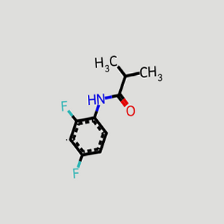 CC(C)C(=O)Nc1ccc(F)[c]c1F